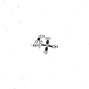 C=O.O=S(=O)(O)O.[AlH3]